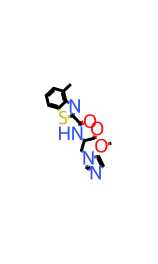 COC(=O)C(Cn1ccnc1)NC(=O)c1nc2c(C)cccc2s1